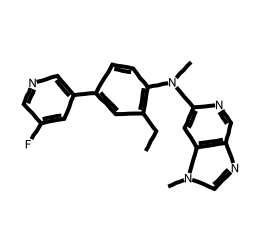 CCc1cc(-c2cncc(F)c2)ccc1N(C)c1cc2c(cn1)ncn2C